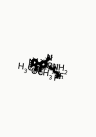 Cc1nccc2c1c(=O)n(C)c1cc(OCC(N)CC=C(F)F)c(C#N)cc21